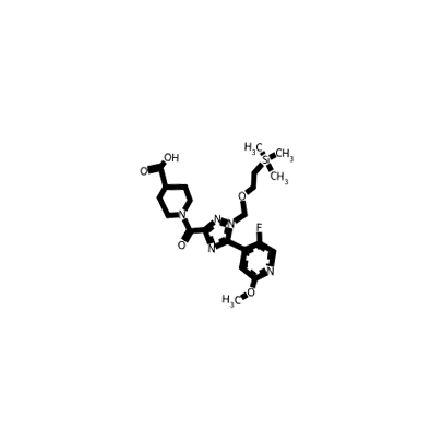 COc1cc(-c2nc(C(=O)N3CCC(C(=O)O)CC3)nn2COCC[Si](C)(C)C)c(F)cn1